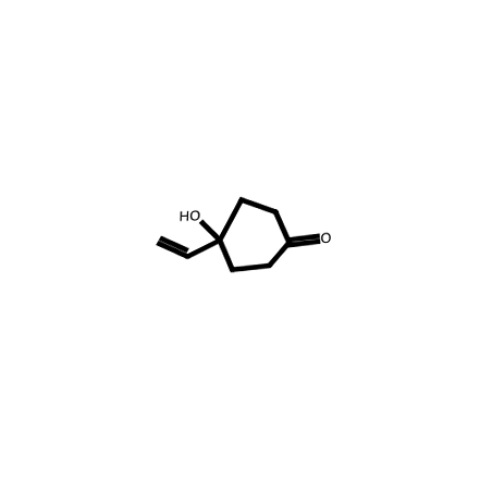 C=CC1(O)CCC(=O)CC1